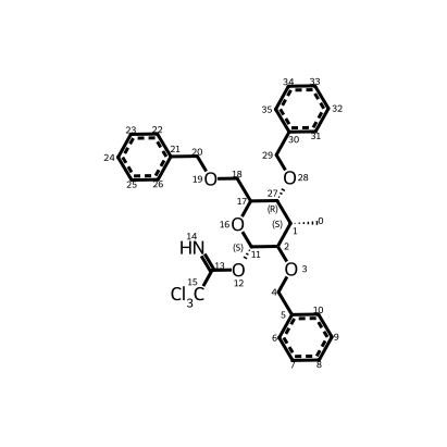 C[C@@H]1C(OCc2ccccc2)[C@H](OC(=N)C(Cl)(Cl)Cl)OC(COCc2ccccc2)[C@@H]1OCc1ccccc1